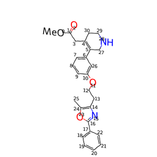 COC(=O)CC1=C(c2cccc(OCCc3nc(-c4ccccc4)oc3C)c2)CNCC1